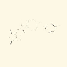 C[C@]1(CS(=O)(=O)N2CCC(Oc3cccc(F)c3)CC2)NC(=O)NC1=O